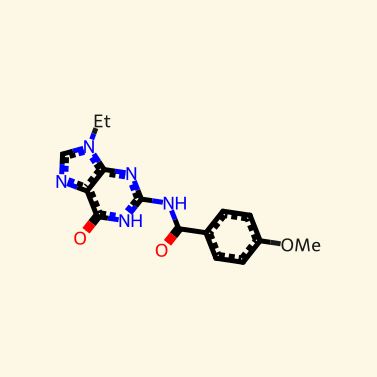 CCn1cnc2c(=O)[nH]c(NC(=O)c3ccc(OC)cc3)nc21